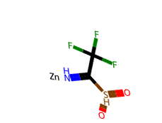 N=C([SH](=O)=O)C(F)(F)F.[Zn]